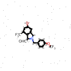 O=CC1c2c(cc(Br)cc2C(F)(F)F)CN1Cc1ccc(OC(F)(F)F)cc1